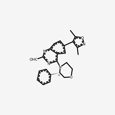 Cc1noc(C)c1-c1ccc2nc(C=O)nc(N3CCOC[C@@H]3c3ccccc3)c2c1